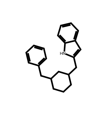 c1ccc(CC2CCCC(Cc3cc4ccccc4[nH]3)C2)cc1